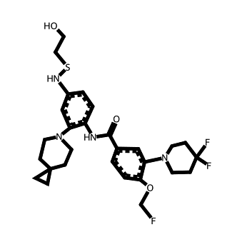 O=C(Nc1ccc(NSCCO)cc1N1CCC2(CC1)CC2)c1ccc(OCF)c(N2CCC(F)(F)CC2)c1